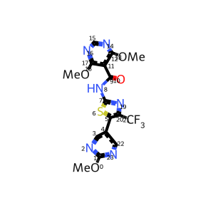 COc1ncc(-c2sc(NC(=O)c3c(OC)ncnc3OC)nc2C(F)(F)F)cn1